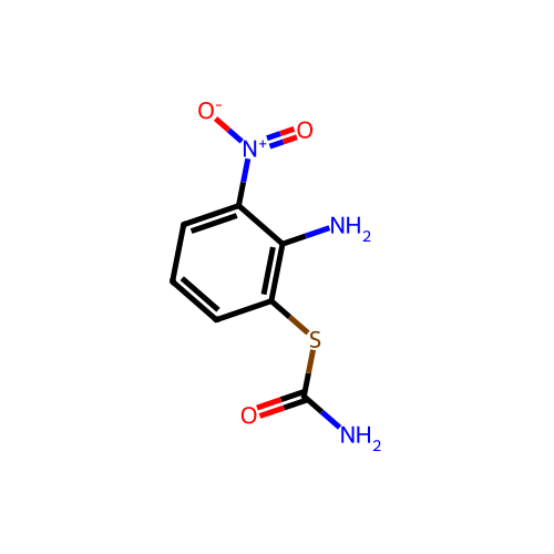 NC(=O)Sc1cccc([N+](=O)[O-])c1N